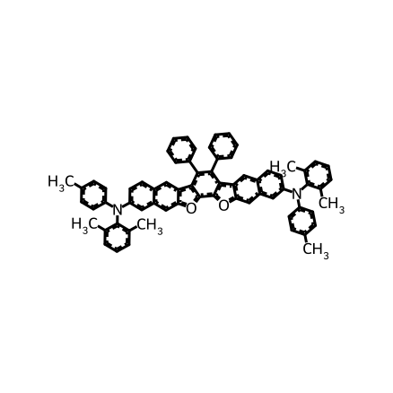 Cc1ccc(N(c2ccc3cc4c(cc3c2)oc2c3oc5cc6cc(N(c7ccc(C)cc7)c7c(C)cccc7C)ccc6cc5c3c(-c3ccccc3)c(-c3ccccc3)c42)c2c(C)cccc2C)cc1